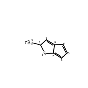 CCCCC1C=C2C=CC=C2S1